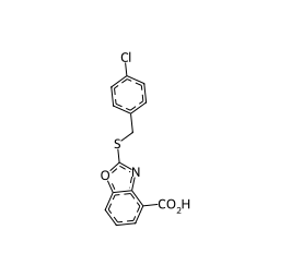 O=C(O)c1cccc2oc(SCc3ccc(Cl)cc3)nc12